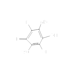 CCCCc1c(O)c(O)c(CCCC)c(F)c1F